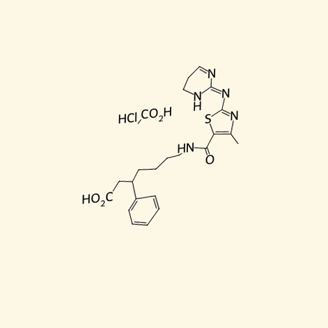 CC(=O)O.Cc1nc(N=C2N=CCCN2)sc1C(=O)NCCCCC(CC(=O)O)c1ccccc1.Cl